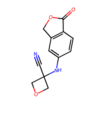 N#CC1(Nc2ccc3c(c2)COC3=O)COC1